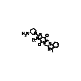 CCn1c(N2CCC[C@@H](N)C2)nc2c(=O)n(C)n(Cc3nc(C)c4ccccc4n3)c(=O)c21